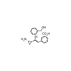 CC/C(=C\c1ccccc1)[C@H]1C[C@@H]1N.O=C(O)[C@@H](O)c1ccccc1